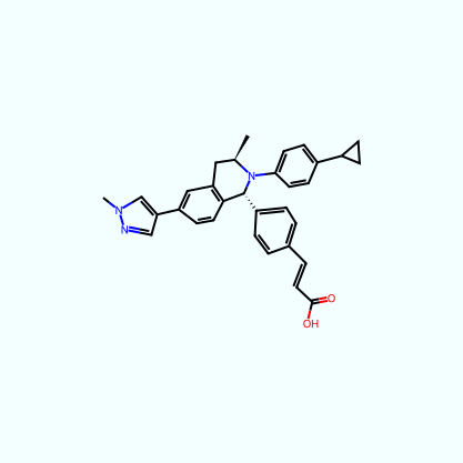 C[C@@H]1Cc2cc(-c3cnn(C)c3)ccc2[C@@H](c2ccc(/C=C/C(=O)O)cc2)N1c1ccc(C2CC2)cc1